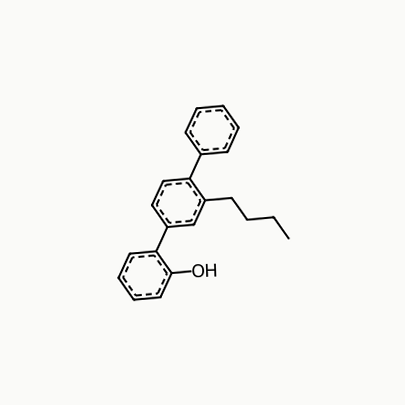 CCCCc1cc(-c2ccccc2O)ccc1-c1ccccc1